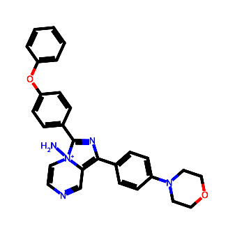 N[N+]12C=CN=CC1=C(c1ccc(N3CCOCC3)cc1)N=C2c1ccc(Oc2ccccc2)cc1